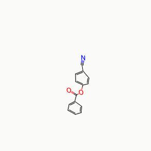 N#Cc1ccc(OC(=O)c2ccccc2)cc1